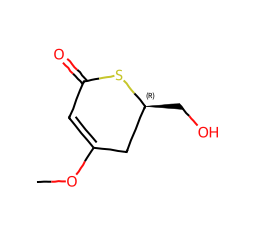 COC1=CC(=O)S[C@@H](CO)C1